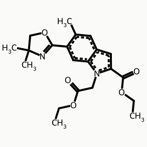 CCOC(=O)Cn1c(C(=O)OCC)cc2cc(C)c(C3=NC(C)(C)CO3)cc21